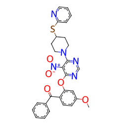 COc1ccc(C(=O)c2ccccc2)c(Oc2ncnc(N3CCC(Sc4ccccn4)CC3)c2[N+](=O)[O-])c1